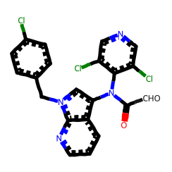 O=CC(=O)N(c1c(Cl)cncc1Cl)c1cn(Cc2ccc(Cl)cc2)c2ncccc12